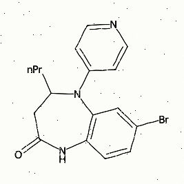 CCCC1CC(=O)Nc2ccc(Br)cc2N1c1ccncc1